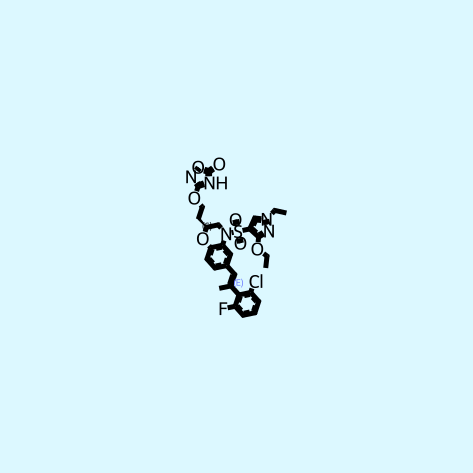 CCOc1nn(CC)cc1S(=O)(=O)N1C[C@H](CCOc2noc(=O)[nH]2)Oc2ccc(/C=C(\C)c3c(F)cccc3Cl)cc21